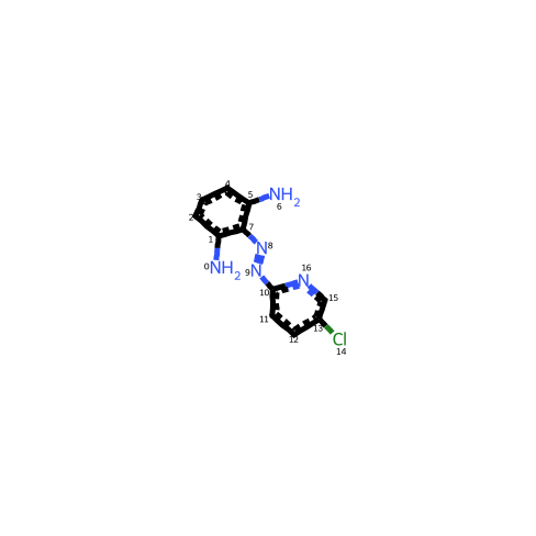 Nc1cccc(N)c1N=Nc1ccc(Cl)cn1